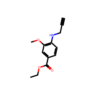 C#CCNc1ccc(C(=O)OCC)cc1OC